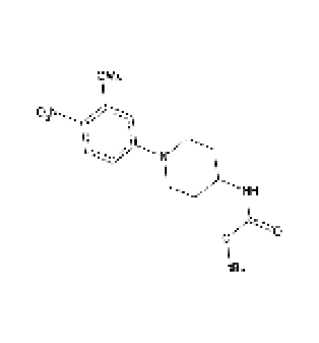 COc1cc(N2CCC(NC(=O)OC(C)(C)C)CC2)ccc1[N+](=O)[O-]